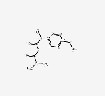 CN(C)C(=O)SC(=O)N(C)c1ccc(CC(C)(C)C)cc1